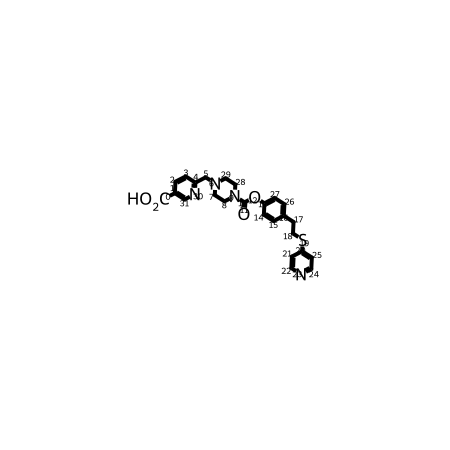 O=C(O)c1ccc(CN2CCN(C(=O)Oc3ccc(CCSc4ccncc4)cc3)CC2)nc1